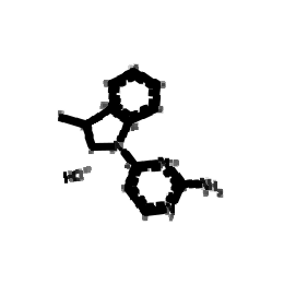 CC1CN(c2ccnc(N)n2)c2ccccc21.Cl